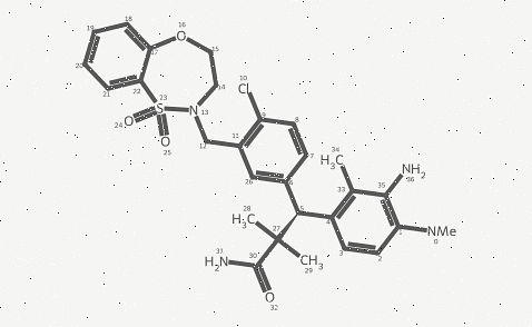 CNc1ccc([C@H](c2ccc(Cl)c(CN3CCOc4ccccc4S3(=O)=O)c2)C(C)(C)C(N)=O)c(C)c1N